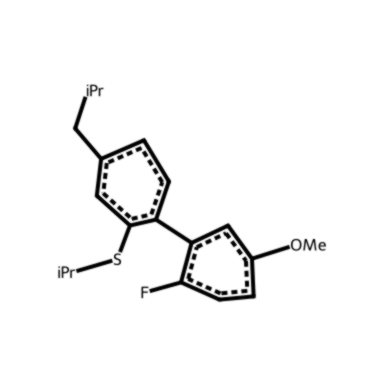 COc1ccc(F)c(-c2ccc(CC(C)C)cc2SC(C)C)c1